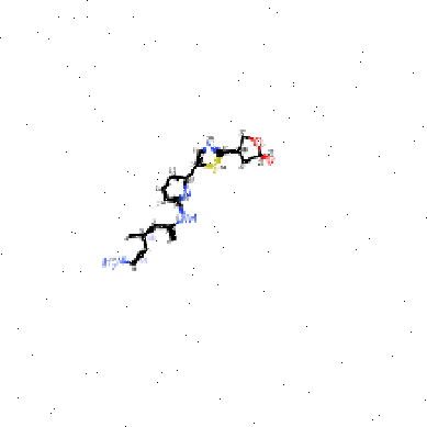 C=C(/C=C(C)\C=C/N)Nc1cccc(-c2cnc(C3COC(=O)C3)s2)n1